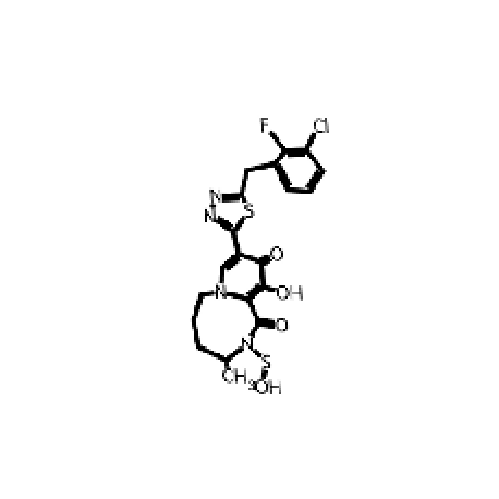 C[C@H]1CCCn2cc(-c3nnc(Cc4cccc(Cl)c4F)s3)c(=O)c(O)c2C(=O)N1SO